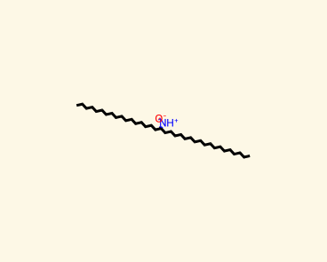 CCCCCCCCCCCCCCCCCCC(CCCCCCCCCCCCCCCCC)=[NH+][O-]